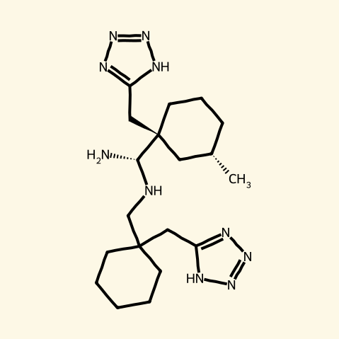 C[C@H]1CCC[C@@](Cc2nnn[nH]2)([C@@H](N)NCC2(Cc3nnn[nH]3)CCCCC2)C1